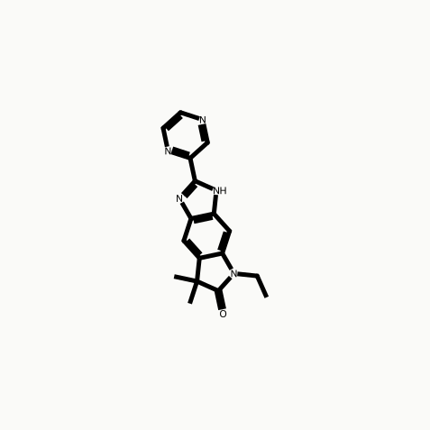 CCN1C(=O)C(C)(C)c2cc3nc(-c4cnccn4)[nH]c3cc21